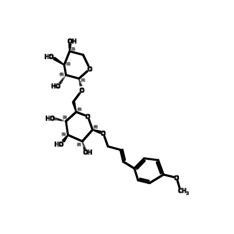 COc1ccc(C=CCO[C@@H]2O[C@H](CO[C@H]3OC[C@H](O)[C@H](O)[C@H]3O)[C@@H](O)[C@H](O)[C@H]2O)cc1